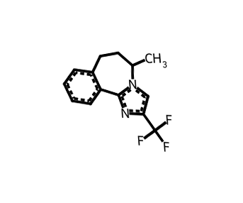 CC1CCc2ccccc2-c2nc(C(F)(F)F)cn21